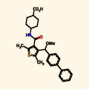 COC(c1ccc(-c2ccccc2)cc1)c1c(C)sc(C)c1C(=O)NC1CCC(C(=O)O)CC1